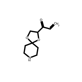 C=CC(=O)C1COC2(CCNCC2)O1